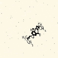 CC(C)CCOc1cc(C(F)F)c2c(c1)ncn2C1CC(C)(C)C1